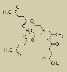 CC(=O)CCC(=O)OCCN(CC(C)OC(=O)CCC(C)=O)CC(C)OC(=O)CCC(C)=O